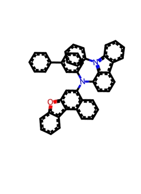 c1ccc(-c2cccc(N(c3cc4oc5ccccc5c4c4ccccc34)c3cccc4c5ccccc5n(-c5ccccc5)c34)c2)cc1